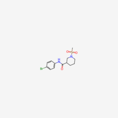 CS(=O)(=O)N1CCCC(C(=O)Nc2ccc(Br)cc2)C1